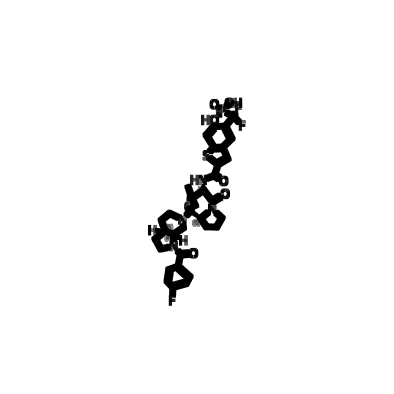 CC(C)(C)[C@H](NC(=O)c1cc2cc(C(F)(F)P(=O)(O)O)ccc2s1)C(=O)N1CCC[C@H]1C(=O)N1CC[C@H]2CCN(C(=O)c3ccc(F)cc3)[C@H]2C1